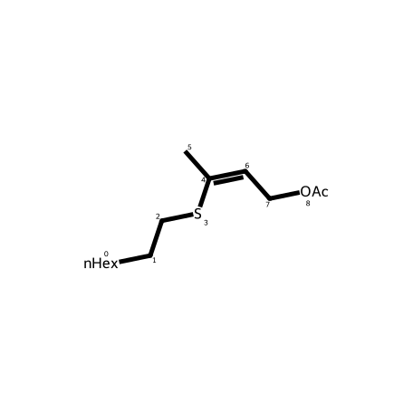 CCCCCCCCS/C(C)=C\COC(C)=O